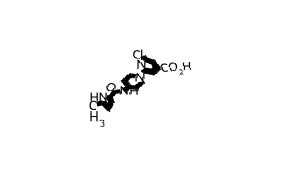 Cc1ccc(C(=O)NC2CCN(c3cc(C(=O)O)cc(Cl)n3)CC2)[nH]1